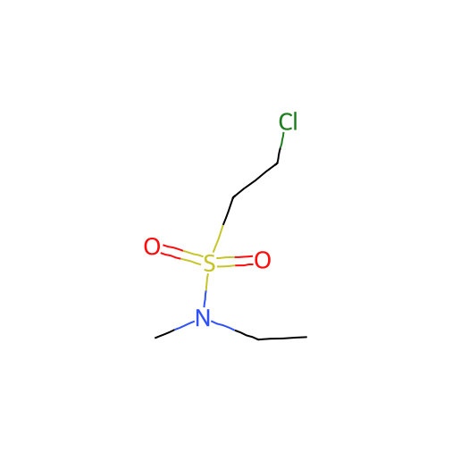 CCN(C)S(=O)(=O)CCCl